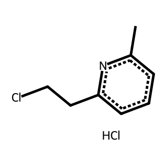 Cc1cccc(CCCl)n1.Cl